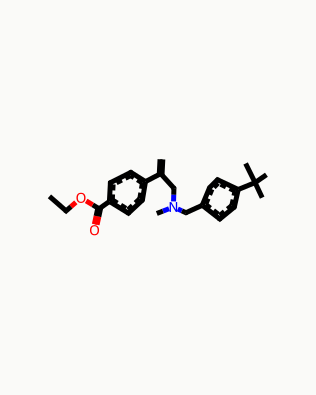 C=C(CN(C)Cc1ccc(C(C)(C)C)cc1)c1ccc(C(=O)OCC)cc1